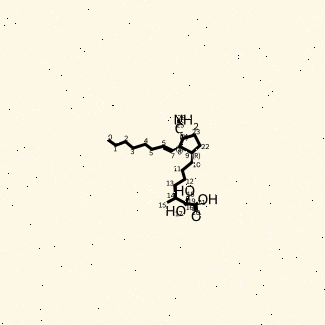 CCCCCCC=C[C@@H]1[C@H](CCCCC(C)C(O)(O)C(=O)O)CC[C@H]1CN